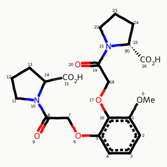 COc1cccc(OCC(=O)N2CCCC2C(=O)O)c1OCC(=O)N1CCC[C@@H]1C(=O)O